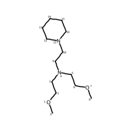 COCCN(CCOC)CCN1CCCCC1